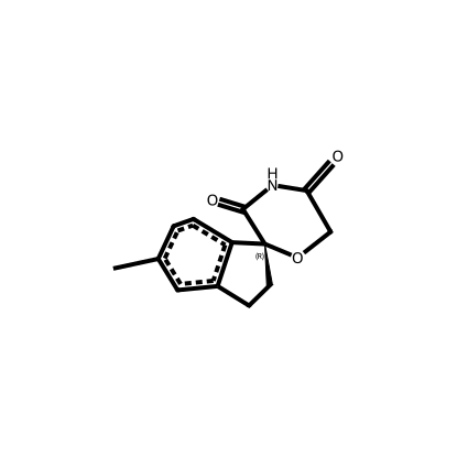 Cc1ccc2c(c1)CC[C@@]21OCC(=O)NC1=O